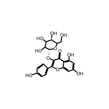 O=c1c(O[C@H]2OC(CO)[C@H](O)C(O)C2O)c(-c2ccc(O)cc2)oc2cc(O)cc(O)c12